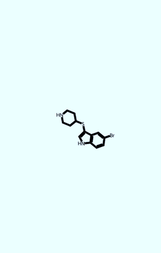 Brc1ccc2[nH]cc(SC3CCNCC3)c2c1